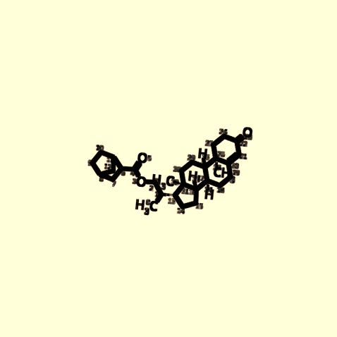 CC(COC(=O)C1CC2CCC1C2)[C@H]1CC[C@H]2[C@@H]3CCC4=CC(=O)CC[C@]4(C)[C@H]3CC[C@]12C